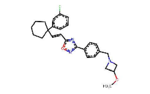 O=C(O)OC1CN(Cc2ccc(-c3noc(/C=C/C4(c5cccc(Cl)c5)CCCCC4)n3)cc2)C1